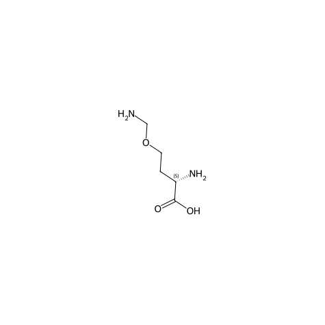 NCOCC[C@H](N)C(=O)O